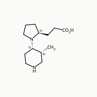 C[C@@H]1CNCC[C@@H]1N1CCC[C@H]1CCC(=O)O